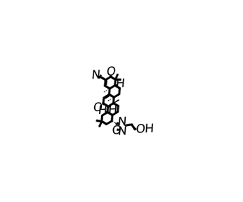 CC1(C)C[C@@H]2C(CC[C@]3(C)[C@@H]2C(=O)C=C2[C@@]4(C)C=C(C#N)C(=O)C(C)(C)[C@@H]4CC[C@]23C)[C@H](c2nc(CCO)no2)C1